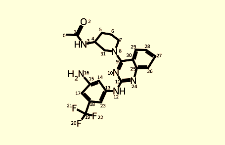 CC(=O)NC1CCCN(c2nc(Nc3cc(N)cc(C(F)(F)F)c3)nc3ccccc23)C1